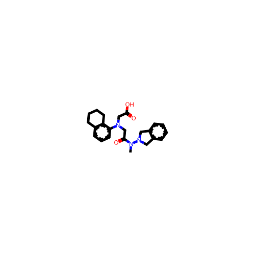 CN(C(=O)CN(CC(=O)O)c1cccc2c1CCCC2)N1Cc2ccccc2C1